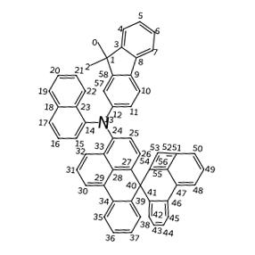 CC1(C)c2ccccc2-c2ccc(N(c3cccc4ccccc34)c3ccc4c5c(cccc35)-c3ccccc3C43c4ccccc4-c4cccc5cccc3c45)cc21